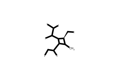 CC1C(C(I)CI)C(C(I)C(I)I)[C@H]1CI